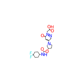 O=C(O)Cn1ncc(N2CC[C@@H](OC(=O)NC3CCC(F)(F)CC3)C2)cc1=O